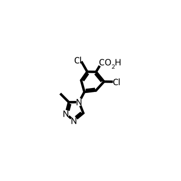 Cc1nncn1-c1cc(Cl)c(C(=O)O)c(Cl)c1